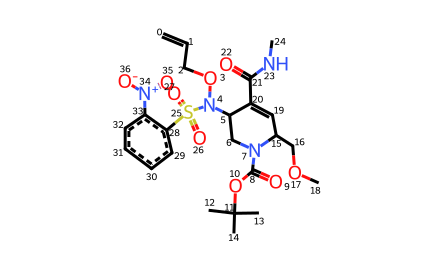 C=CCON(C1CN(C(=O)OC(C)(C)C)C(COC)C=C1C(=O)NC)S(=O)(=O)c1ccccc1[N+](=O)[O-]